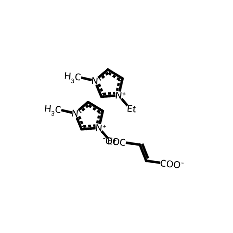 CC[n+]1ccn(C)c1.CC[n+]1ccn(C)c1.O=C([O-])C=CC(=O)[O-]